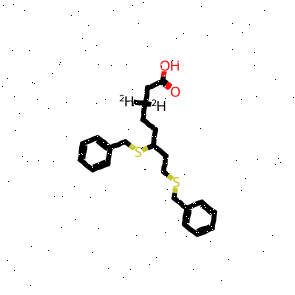 [2H]C([2H])(CCC(CCSCc1ccccc1)SCc1ccccc1)CC(=O)O